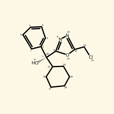 O[C@](c1ccccc1)(c1nnc(CCl)o1)C1CCCCC1